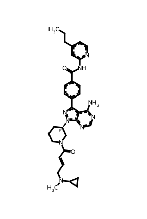 CCCc1ccnc(NC(=O)c2ccc(-c3nn([C@@H]4CCCN(C(=O)C=CCN(C)C5CC5)C4)c4ncnc(N)c34)cc2)c1